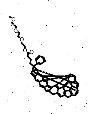 COCCOCCOCCOC(=O)CCCC1(c2ccccc2)C23C=c4cc5cc6cc7c8c6c6c5c5c4C21c1c2c(cc4c9c%10c(cc(c%11c%10c%10c(c1c5c6c%10c8%11)c29)C7)C4)C3